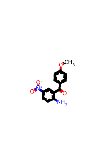 COc1ccc(C(=O)c2cc([N+](=O)[O-])ccc2N)cc1